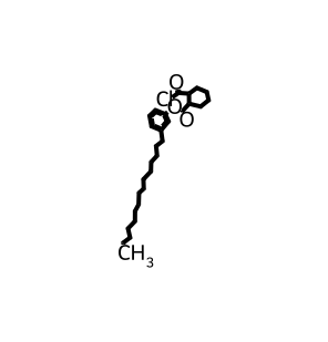 CCCCCCCCCCCCCCCc1cccc(OC(=O)C2CCCCC2C(=O)Cl)c1